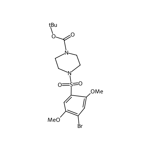 COc1cc(S(=O)(=O)N2CCN(C(=O)OC(C)(C)C)CC2)c(OC)cc1Br